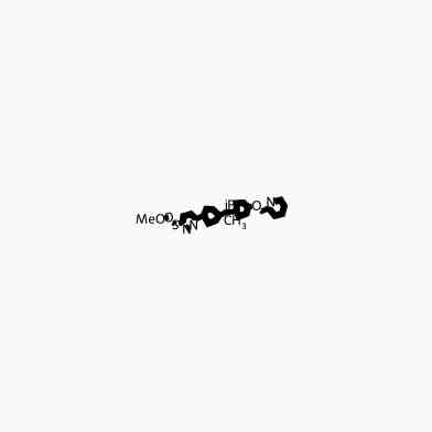 COOSc1ccc(-c2ccc(C(C)(c3ccc(OCc4ccccn4)cc3)C(C)C)cc2)nn1